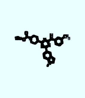 Cn1ccc2cc(-c3nc(Nc4cccc(C(F)(F)F)c4)nc(C4=CCN(C(=O)OC(C)(C)C)CC4)n3)ccc21